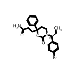 CC[C@@H](c1ccc(Br)cc1)N1CCC(CCC(N)=O)(c2ccccc2)OC1=O